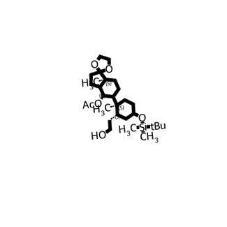 CC(=O)O[C@H]1C2CCC3(OCCO3)[C@@]2(C)CCC1[C@@]1(C)CCC(O[Si](C)(C)C(C)(C)C)C[C@@H]1CCO